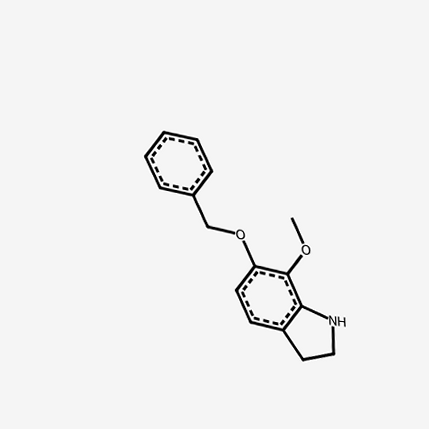 COc1c(OCc2ccccc2)ccc2c1NCC2